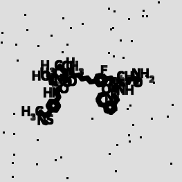 Cc1ncsc1-c1ccc(CNC(=O)[C@@H]2C[C@@H](O)CN2C(=O)[C@@H](NC(=O)CCCCc2ccc(CO[C@H](C)[C@H](CCC(N)=O)NC(=O)[C@@H]3Cc4cccc5c4N3C(=O)CCC5)c(F)c2)C(C)(C)C)cc1